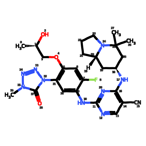 C[C@H](O)COc1cc(F)c(Nc2ncc(C#N)c(N[C@@H]3C[C@@H]4CCCN4C(C)(C)C3)n2)cc1-n1nnn(C)c1=O